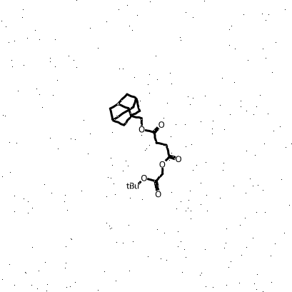 CC(C)(C)OC(=O)COC(=O)CCC(=O)OCC12CC3CC(CC(C3)C1)C2